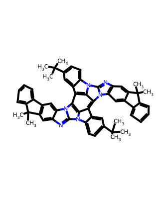 CC(C)(C)c1ccc2c(c1)c1c3c4c(c5cc(C(C)(C)C)ccc5n4c4nc5cc6c(cc5n34)-c3ccccc3C6(C)C)c3c1n2c1nc2cc4c(cc2n31)-c1ccccc1C4(C)C